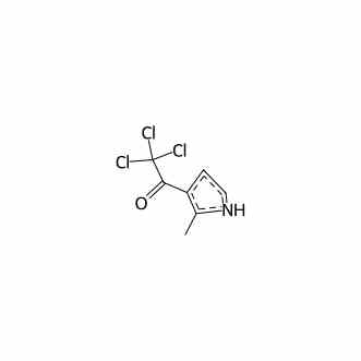 Cc1[nH]ccc1C(=O)C(Cl)(Cl)Cl